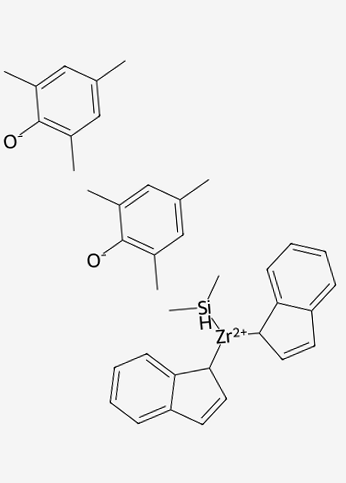 C[SiH](C)[Zr+2]([CH]1C=Cc2ccccc21)[CH]1C=Cc2ccccc21.Cc1cc(C)c([O-])c(C)c1.Cc1cc(C)c([O-])c(C)c1